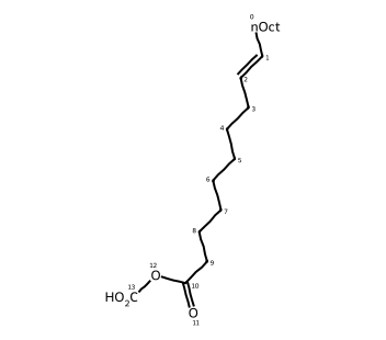 CCCCCCCCC=CCCCCCCCC(=O)OC(=O)O